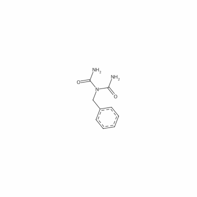 NC(=O)N(Cc1ccccc1)C(N)=O